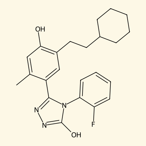 Cc1cc(O)c(CCC2CCCCC2)cc1-c1nnc(O)n1-c1ccccc1F